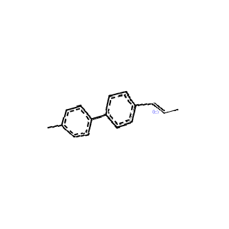 C/C=C/c1ccc(-c2ccc(C)cc2)cc1